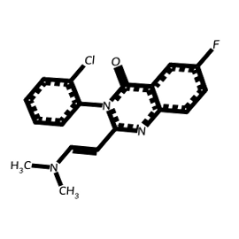 CN(C)C=Cc1nc2ccc(F)cc2c(=O)n1-c1ccccc1Cl